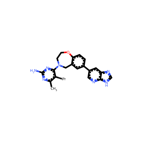 Cc1nc(N)nc(N2CCOc3ccc(-c4cnc5[nH]cnc5c4)cc3C2)c1C(C)C